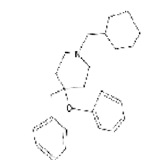 c1ccc(CC2(Oc3ccccc3)CCN(CC3CCCCC3)CC2)cc1